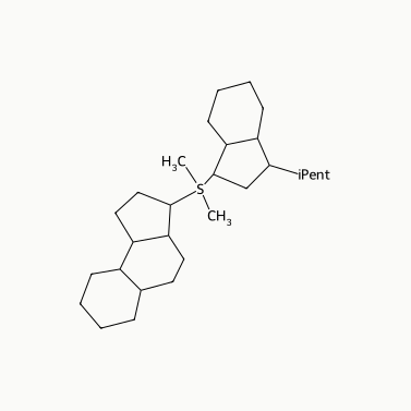 CCCC(C)C1CC(S(C)(C)C2CCC3C4CCCCC4CCC32)C2CCCCC12